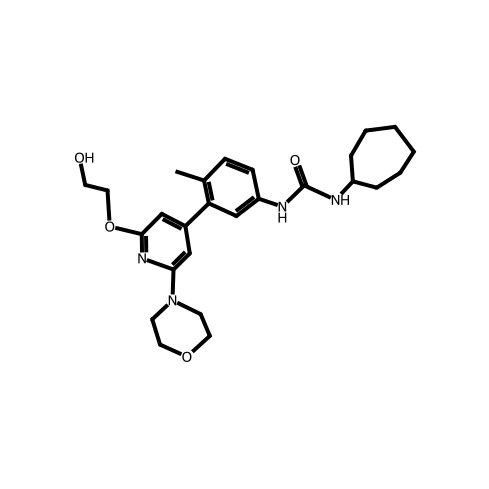 Cc1ccc(NC(=O)NC2CCCCCC2)cc1-c1cc(OCCO)nc(N2CCOCC2)c1